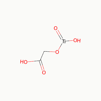 O=C(O)C[O][Ti](=[O])[OH]